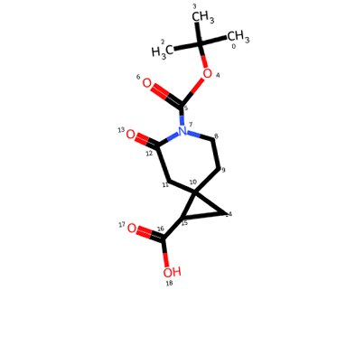 CC(C)(C)OC(=O)N1CCC2(CC1=O)CC2C(=O)O